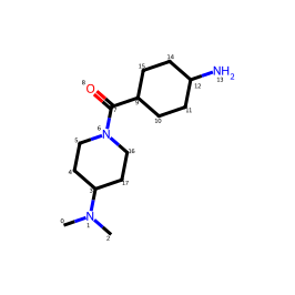 CN(C)C1CCN(C(=O)C2CCC(N)CC2)CC1